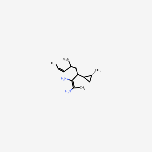 C/C=C\C(C[C@H](/C(N)=C(\C)N)C1C[C@H]1C)NC